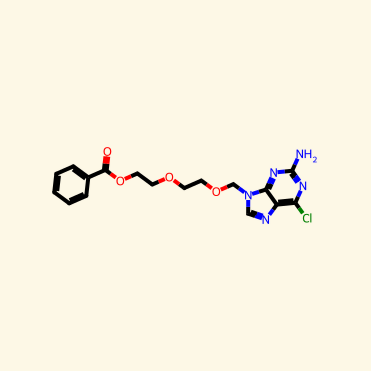 Nc1nc(Cl)c2ncn(COCCOCCOC(=O)c3ccccc3)c2n1